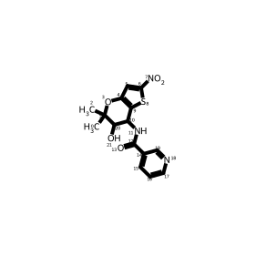 CC1(C)Oc2cc([N+](=O)[O-])sc2C(NC(=O)c2cccnc2)C1O